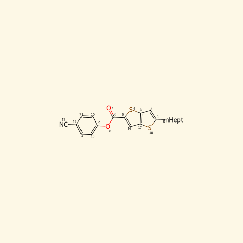 CCCCCCCc1cc2sc(C(=O)Oc3ccc(C#N)cc3)cc2s1